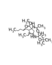 CCCC=CC1[C@H](CC)[C@@H](NC(=O)OC(C)(C)C)CC1(NC(C)=O)C(=O)OC